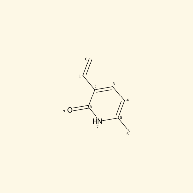 C=Cc1ccc(C)[nH]c1=O